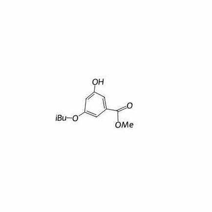 CCC(C)Oc1cc(O)cc(C(=O)OC)c1